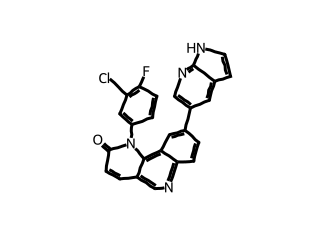 O=c1ccc2cnc3ccc(-c4cnc5[nH]ccc5c4)cc3c2n1-c1ccc(F)c(Cl)c1